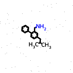 CC(C)Cc1ccc(-c2ccccc2)c(CN)c1